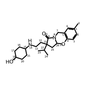 Cc1ccc2c(c1)CN1C(=O)C(CCNC3CCC(O)CC3)(C(C)C)CC1O2